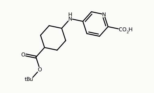 CC(C)(C)OC(=O)C1CCC(Nc2ccc(C(=O)O)nc2)CC1